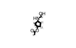 CC(=O)Oc1ccc(NCO)cc1